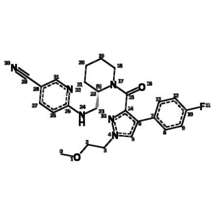 COCCn1cc(-c2ccc(F)cc2)c(C(=O)N2CCCC[C@H]2CNc2ccc(C#N)cn2)n1